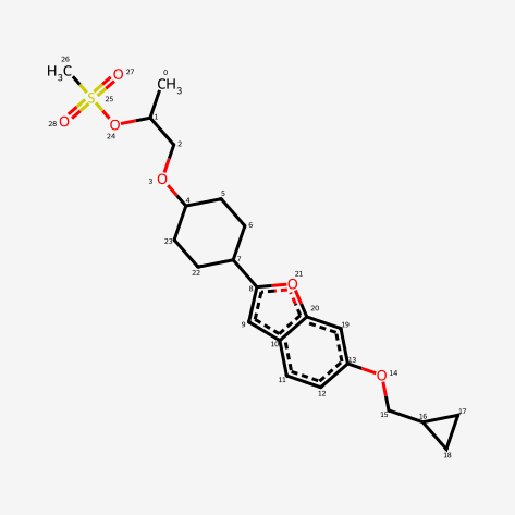 CC(COC1CCC(c2cc3ccc(OCC4CC4)cc3o2)CC1)OS(C)(=O)=O